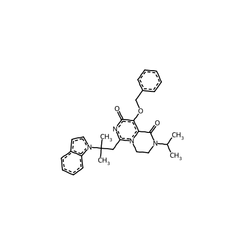 CC(C)N1CCn2c(CC(C)(C)n3ccc4ccccc43)nc(=O)c(OCc3ccccc3)c2C1=O